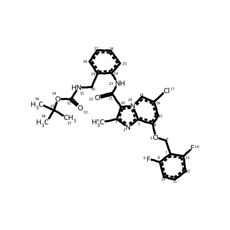 Cc1nc2c(OCc3c(F)cccc3F)cc(Cl)cn2c1C(=O)Nc1ccccc1CNC(=O)OC(C)(C)C